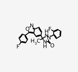 CC1(c2ccc3noc(-c4ccc(F)cc4)c3c2)NC(=O)N(c2ccccc2F)N1